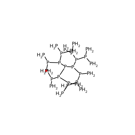 PP(P)P(P)P(P(P(P)P)P(P)P)P(P(P(P)P)P(P)P)P(P(P)P)P(P)P